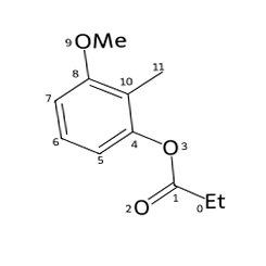 CCC(=O)Oc1cccc(OC)c1C